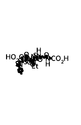 CCO/N=C(\C(=O)N[C@@H]1C(=O)N2C(C(=O)O)=C(Sc3nc(-c4ccc(C)cc4)cs3)CS[C@H]12)c1nsc(NC(=O)CCC(=O)NCCC(=O)O)n1